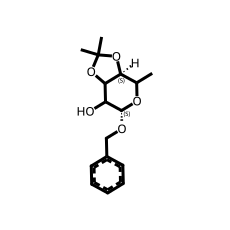 CC1O[C@H](OCc2ccccc2)C(O)C2OC(C)(C)O[C@@H]12